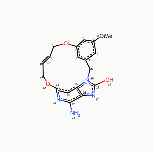 COc1cc2cc(c1)OC/C=C/COc1cc3c(nc(O)n3C2)c(N)n1